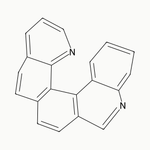 c1cnc2c(c1)ccc1ccc3cnc4ccccc4c3c12